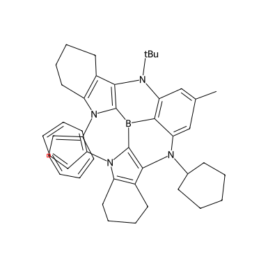 Cc1cc2c3c(c1)N(C(C)(C)C)c1c4c(n(-c5ccccc5)c1B3c1c(c3c(n1-c1ccccc1)CCCC3)N2C1CCCCC1)CCCC4